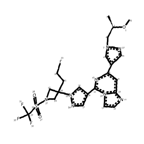 CO[C@H](C)Cn1cc(-c2cc3nccn3c(-c3cnn(C4(CCF)CN(S(=O)(=O)C(F)(F)F)C4)c3)n2)cn1